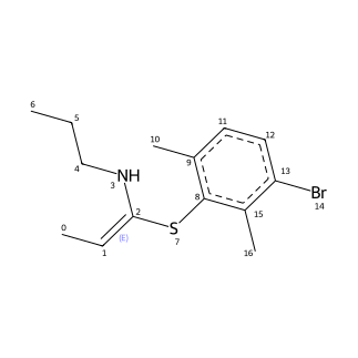 C/C=C(\NCCC)Sc1c(C)ccc(Br)c1C